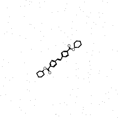 O=C(OC1CCCCC1)c1ccc(C=Cc2ccc(C(=O)OC3CCCCC3)cc2)cc1